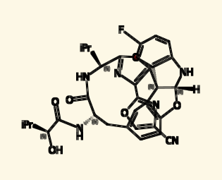 CC(C)[C@H](O)C(=O)N[C@H]1Cc2ccc3c(c2)[C@@]2(c4cc(F)ccc4N[C@@H]2O3)c2oc(nc2-c2nc(C#N)co2)[C@H](C(C)C)NC1=O